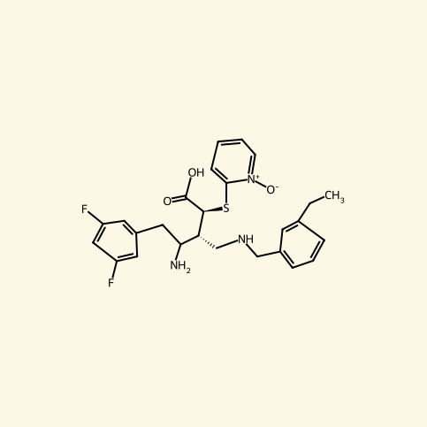 CCc1cccc(CNC[C@H](C(N)Cc2cc(F)cc(F)c2)[C@H](Sc2cccc[n+]2[O-])C(=O)O)c1